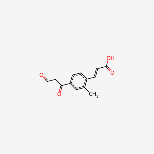 Cc1cc(C(=O)CC=O)ccc1/C=C/C(=O)O